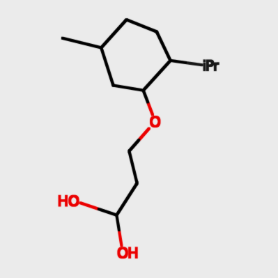 CC1CCC(C(C)C)C(OCCC(O)O)C1